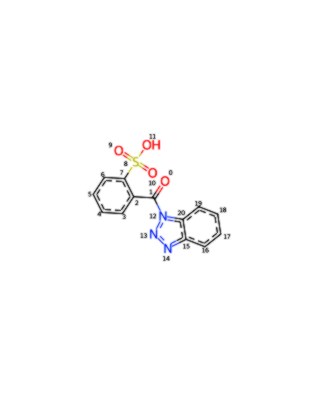 O=C(c1ccccc1S(=O)(=O)O)n1nnc2ccccc21